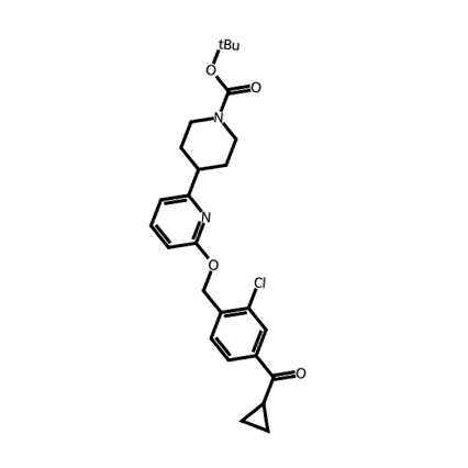 CC(C)(C)OC(=O)N1CCC(c2cccc(OCc3ccc(C(=O)C4CC4)cc3Cl)n2)CC1